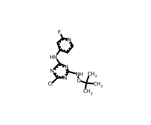 CC(C)(C)ONc1nc(Cl)nc(Nc2ccnc(F)c2)n1